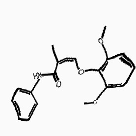 COc1cccc(OC)c1OC=C(C)C(=O)Nc1ccccc1